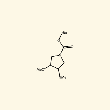 CNC1CN(C(=O)OC(C)(C)C)CC1OC